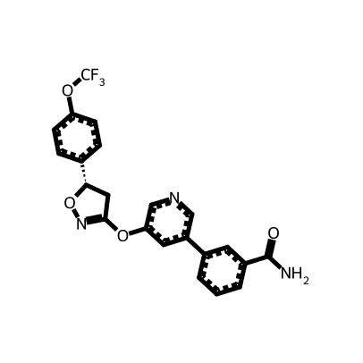 NC(=O)c1cccc(-c2cncc(OC3=NO[C@H](c4ccc(OC(F)(F)F)cc4)C3)c2)c1